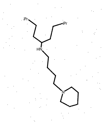 CC(C)CCC(CCC(C)C)NCCCCN1CCCCC1